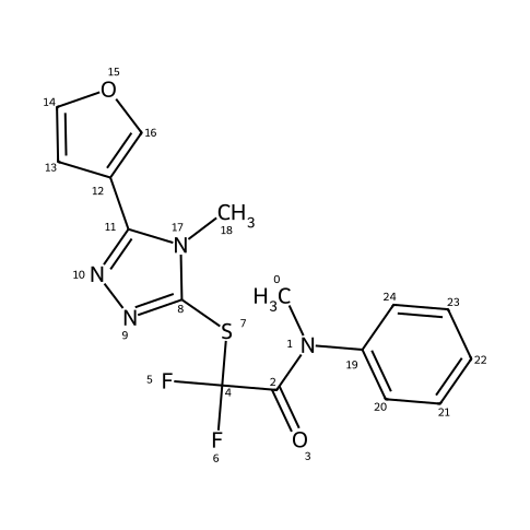 CN(C(=O)C(F)(F)Sc1nnc(-c2ccoc2)n1C)c1ccccc1